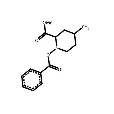 COC(=O)C1CC(C)CCN1OC(=O)c1ccccc1